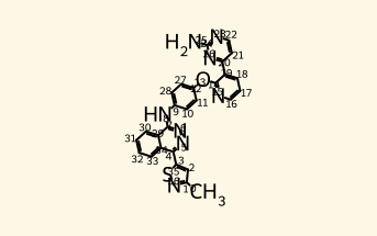 Cc1cc(-c2nnc(Nc3ccc(Oc4ncccc4-c4ccnc(N)n4)cc3)c3ccccc23)sn1